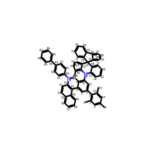 Cc1cc(C)c(-c2cc3c4c(c2)N2c5ccccc5C5(c6ccccc6-c6ccccc65)c5cccc(c52)B4N(c2ccc(-c4ccccc4)cc2)c2ccc4ccccc4c2-3)c(C)c1